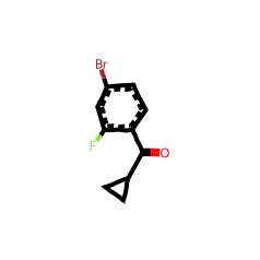 O=C(c1ccc(Br)cc1F)C1CC1